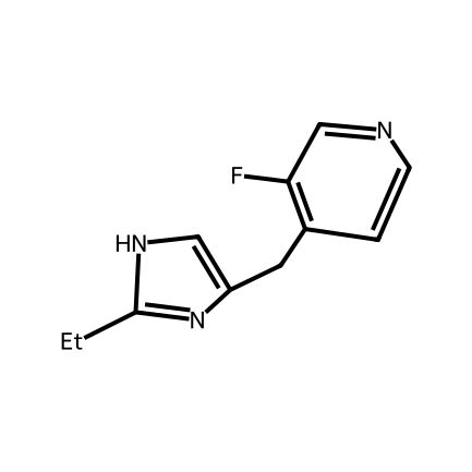 CCc1nc(Cc2ccncc2F)c[nH]1